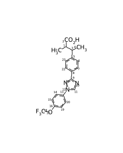 CC(C(=O)O)C(C)c1ccc(-c2ncn(-c3ccc(OC(F)(F)F)cc3)n2)cc1